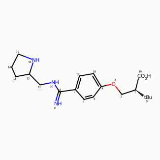 CC(C)(C)[C@@H](COc1ccc(C(=N)NCC2CCCN2)cc1)C(=O)O